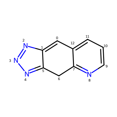 C1=C2N=NN=C2Cc2ncccc21